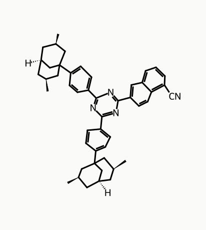 C[C@@H]1C[C@@H]2C[C@H](C)CC(c3ccc(-c4nc(-c5ccc(C67C[C@H](C)C[C@H](C[C@H](C)C6)C7)cc5)nc(-c5ccc6c(C#N)cccc6c5)n4)cc3)(C1)C2